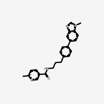 Cc1ccc(C(=O)NCCCc2ccc(-c3ccc4c(c3)ncn4C)cc2)cn1